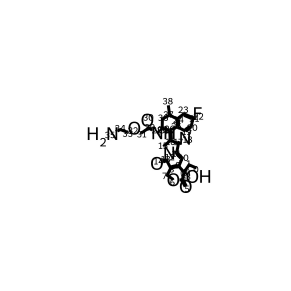 CC[C@@]1(O)C(=O)OCc2c1cc1n(c2=O)Cc2c-1nc1cc(F)cc3c1c2[C@@H](NC(=O)COCCN)CC3C